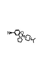 CC(C)N1CCN(C(=O)[N+]2(c3cccc(C#N)c3)CCCC2)CC1